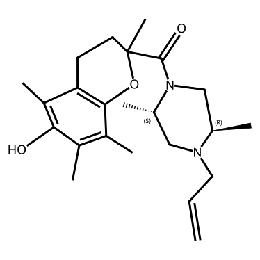 C=CCN1C[C@H](C)N(C(=O)C2(C)CCc3c(C)c(O)c(C)c(C)c3O2)C[C@H]1C